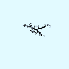 C=CCCC(O)c1c(C=C)nn2c1CN(C(=O)OCCCC)CC2